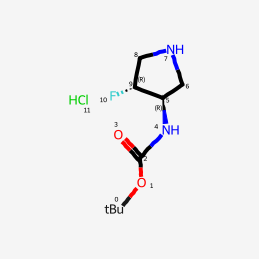 CC(C)(C)OC(=O)N[C@@H]1CNC[C@H]1F.Cl